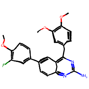 COc1ccc(-c2ccc3nc(N)nc(-c4ccc(OC)c(OC)c4)c3c2)cc1F